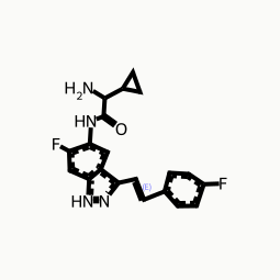 NC(C(=O)Nc1cc2c(/C=C/c3ccc(F)cc3)n[nH]c2cc1F)C1CC1